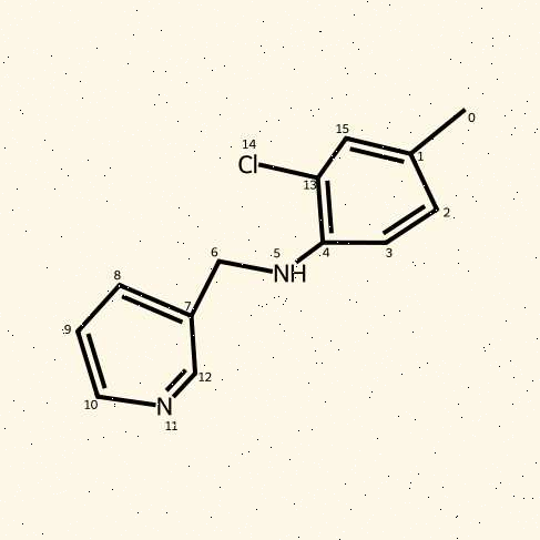 Cc1ccc(NCc2cccnc2)c(Cl)c1